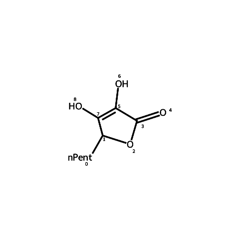 CCCCCC1OC(=O)C(O)=C1O